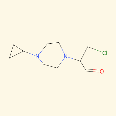 O=CC(CCl)N1CCN(C2CC2)CC1